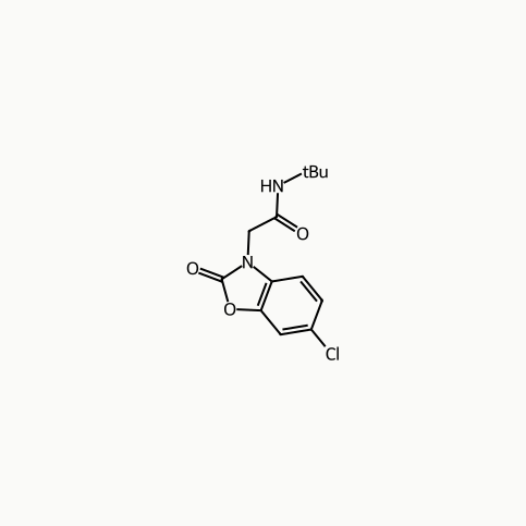 CC(C)(C)NC(=O)Cn1c(=O)oc2cc(Cl)ccc21